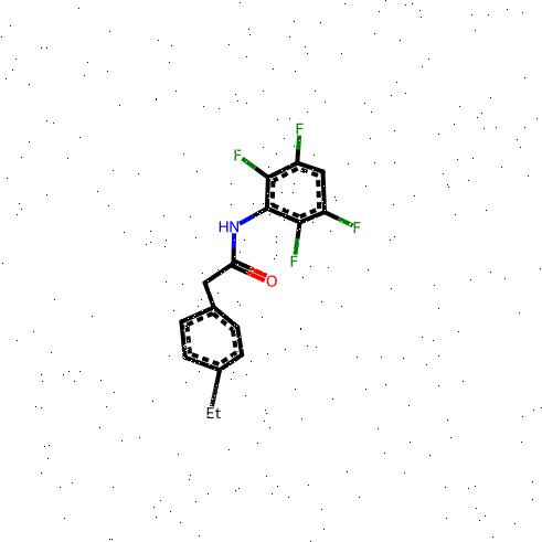 CCc1ccc(CC(=O)Nc2c(F)c(F)cc(F)c2F)cc1